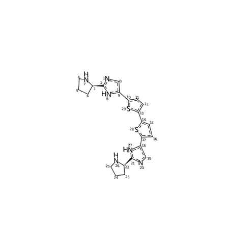 c1nc([C@H]2CCCN2)[nH]c1-c1ccc(-c2ccc(-c3cnc([C@H]4CCCN4)[nH]3)s2)s1